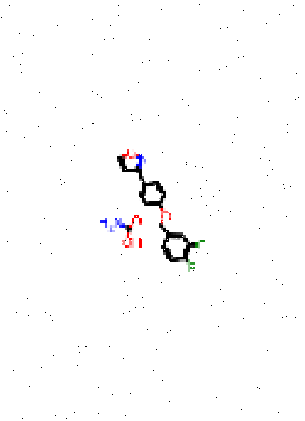 Fc1ccc(COc2ccc(-c3ccon3)cc2)cc1F.NC(=O)O